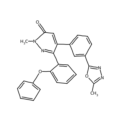 Cc1nnc(-c2cccc(-c3cc(=O)n(C)nc3-c3ccccc3Oc3ccccc3)c2)o1